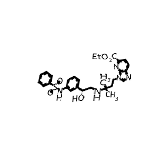 CCOC(=O)c1ccc2ncn(CCC(C)(C)NC[C@H](O)c3cccc(NS(=O)(=O)c4ccccc4)c3)c2n1